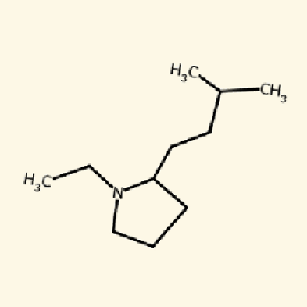 CCN1CCCC1CCC(C)C